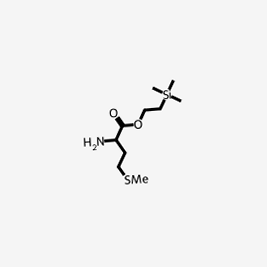 CSCCC(N)C(=O)OCC[Si](C)(C)C